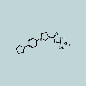 CC(C)(C)OC(=O)N1CC[C@H](c2ccc(N3CCCC3)cc2)C1